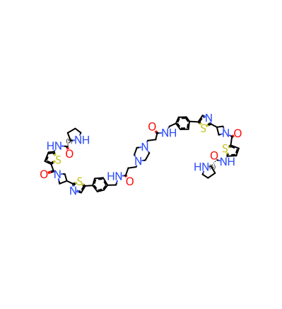 O=C(CCN1CCN(CCC(=O)NCc2ccc(-c3cnc(C4CN(C(=O)c5ccc(NC(=O)[C@@H]6CCCN6)s5)C4)s3)cc2)CC1)NCc1ccc(-c2cnc(C3CN(C(=O)c4ccc(NC(=O)[C@@H]5CCCN5)s4)C3)s2)cc1